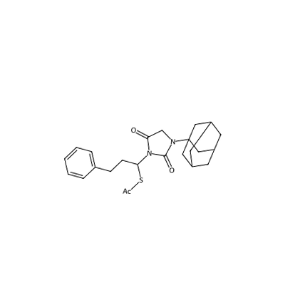 CC(=O)SC(CCc1ccccc1)N1C(=O)CN(C23CC4CC(CC(C4)C2)C3)C1=O